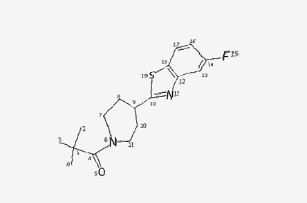 CC(C)(C)C(=O)N1CCC(c2nc3cc(F)ccc3s2)CC1